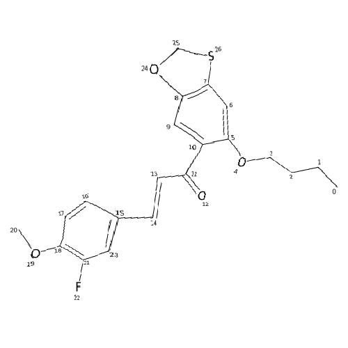 CCCCOc1cc2c(cc1C(=O)/C=C/c1ccc(OC)c(F)c1)OCS2